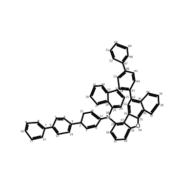 C1=CC(c2ccc(-c3ccccc3)cc2)CC=C1N(c1cccc2ccccc12)c1cccc2oc3c4ccccc4c(-c4ccc(-c5ccccc5)cc4)cc3c12